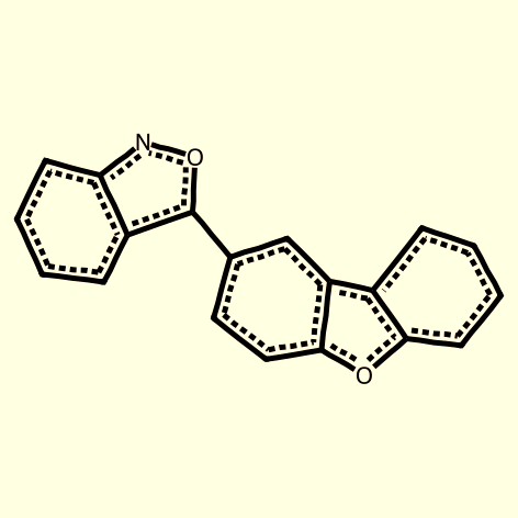 c1ccc2c(-c3ccc4oc5ccccc5c4c3)onc2c1